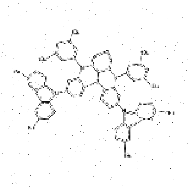 CC(C)(C)c1cc(N2c3cc(-n4c5ccc(C(C)(C)C)cc5c5cc(C(C)(C)C)ccc54)ccc3B3c4ccc(-n5c6ccc(C(C)(C)C)cc6c6cc(C(C)(C)C)ccc65)cc4N(c4cc(C(C)(C)C)cc(C(C)(C)C)c4)c4cccc2c43)cc(C(C)(C)C)c1